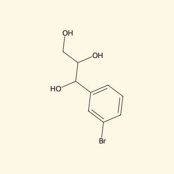 OCC(O)C(O)c1cccc(Br)c1